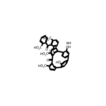 O=C(O)c1ccccc1C(=O)c1c(Nc2c3c(C(=O)O)ccc2c2ccc(cc2O)c2ccc(c(O)c2)c2ccc(C(=O)O)c(c2)c3=O)cccc1C(=O)O.[NH]